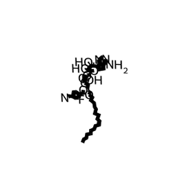 CCCCCCCC/C=C\CCCCCCCCOC[C@H](COP(=O)(O)OC[C@H]1O[C@@](C)(c2ccc3c(N)ncnn23)[C@H](O)[C@@H]1O)OCc1ccc(C#N)cc1F